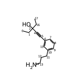 CCC(O)(C#Cc1cccc(CCCN)c1)CC